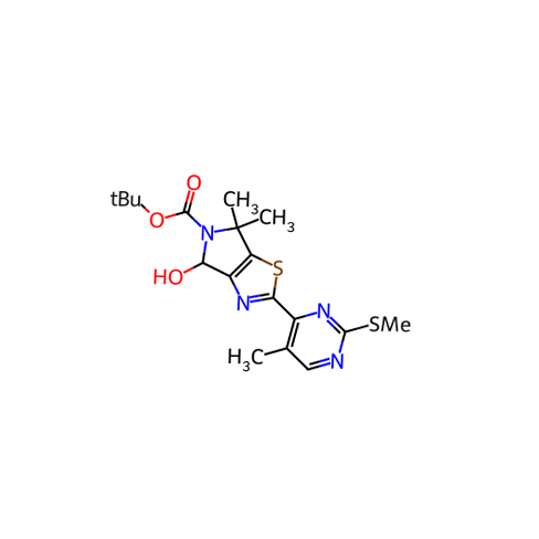 CSc1ncc(C)c(-c2nc3c(s2)C(C)(C)N(C(=O)OC(C)(C)C)C3O)n1